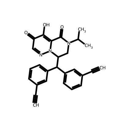 C#Cc1cccc(C(c2cccc(C#C)c2)C2CN(C(C)C)C(=O)c3c(O)c(=O)cnn32)c1